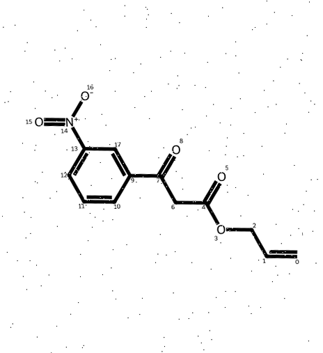 C=CCOC(=O)CC(=O)c1cccc([N+](=O)[O-])c1